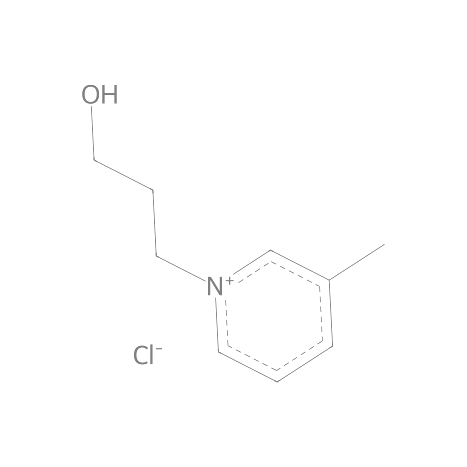 Cc1ccc[n+](CCCO)c1.[Cl-]